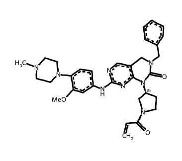 C=CC(=O)N1CC[C@H](N2C(=O)N(Cc3ccccc3)Cc3cnc(Nc4ccc(N5CCN(C)CC5)c(OC)c4)nc32)C1